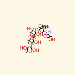 CO[C@H]1C(O)[C@H](NC(=O)CC(C)(C)O)C(C)O[C@H]1OC1[C@@H](O)C(C)O[C@@H](OC2[C@@H](O)C(C)O[C@@H](O[C@H]3C[C@@H](O)C(C)OC3O)[C@H]2O)[C@H]1O